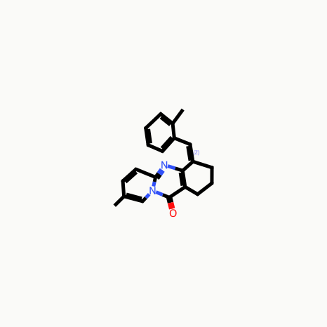 Cc1ccc2nc3c(c(=O)n2c1)CCC/C3=C/c1ccccc1C